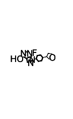 Oc1ncnc2c1cnn2-c1ccc(C2CCOC2)cc1F